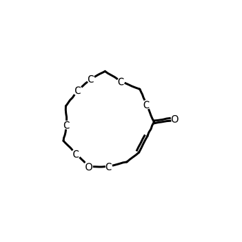 O=C1C=CCCOCCCCCCCCCC1